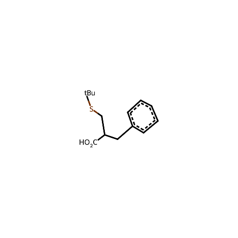 CC(C)(C)SCC(Cc1ccccc1)C(=O)O